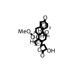 COC(=O)[C@@H]1CC2=CC(=O)CC[C@]2(C)[C@@]23O[C@@H]2C[C@@]2(C)[C@@H](CC[C@@]24CC(O)C(=O)O4)[C@H]13